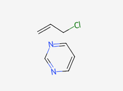 C=CCCl.c1cncnc1